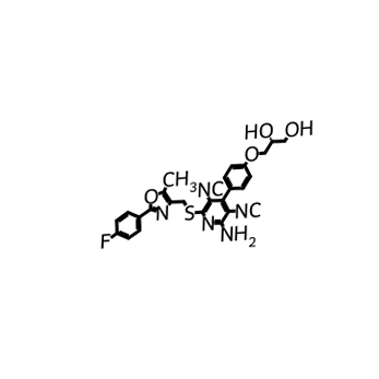 [C-]#[N+]c1c(N)nc(SCc2nc(-c3ccc(F)cc3)oc2C)c(C#N)c1-c1ccc(OC[C@H](O)CO)cc1